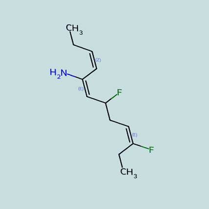 CC/C=C\C(N)=C/C(F)C/C=C(/F)CC